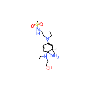 CCN(CCNS(C)(=O)=O)C1=CC(C)(C)C(N)(N(CC)CCO)C=C1